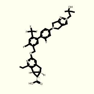 CCc1nc(OCc2cc(-c3ccc(N4Cc5cn(CC(C)(C)O)nc5C4)cc3F)c(C(F)(F)F)cc2F)cc2c1[C@H]1[C@@H](C2)[C@@H]1C(=O)O